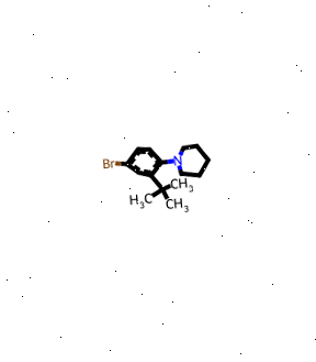 CC(C)(C)c1cc(Br)ccc1N1CCCCC1